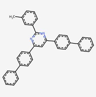 Cc1cccc(-c2nc(-c3ccc(-c4ccccc4)cc3)cc(-c3ccc(-c4ccccc4)cc3)n2)c1